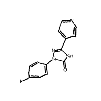 O=c1[nH]c(-c2ccncc2)nn1-c1ccc(F)cc1